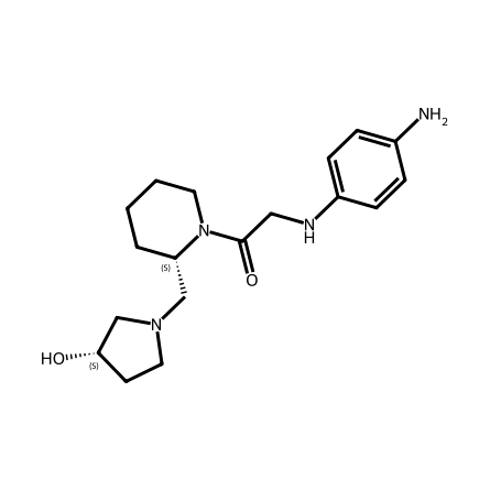 Nc1ccc(NCC(=O)N2CCCC[C@H]2CN2CC[C@H](O)C2)cc1